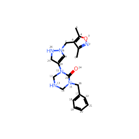 Cc1noc(C)c1CN1C=C(N2CNCN(Cc3ccccc3)C2=O)CN1